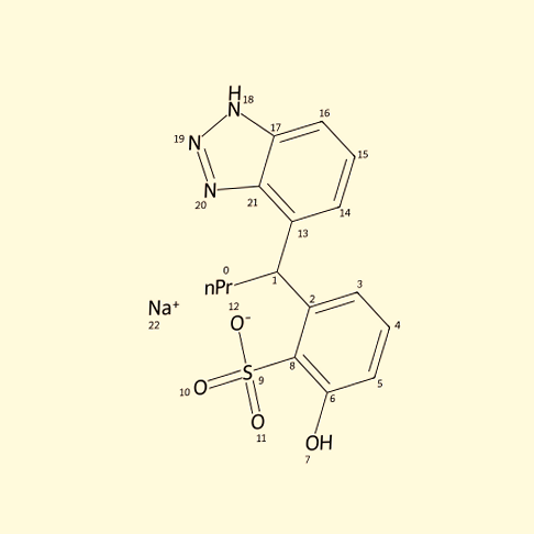 CCCC(c1cccc(O)c1S(=O)(=O)[O-])c1cccc2[nH]nnc12.[Na+]